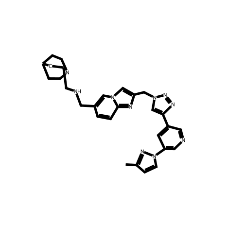 Cc1ccn(-c2cncc(-c3cn(Cc4cn5cc(CNCC6CC7CCN6CC7)ccc5n4)nn3)c2)n1